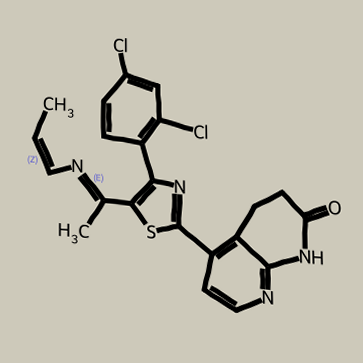 C/C=C\N=C(/C)c1sc(-c2ccnc3c2CCC(=O)N3)nc1-c1ccc(Cl)cc1Cl